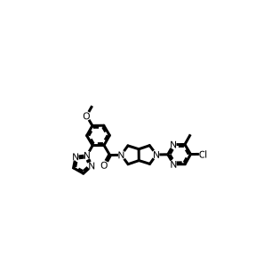 COc1ccc(C(=O)N2CC3CN(c4ncc(Cl)c(C)n4)CC3C2)c(-n2nccn2)c1